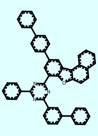 c1ccc(-c2ccc(-c3cc(-c4nc(-c5ccccc5)nc(-c5cccc(-c6ccccc6)c5)n4)c4oc5ccc6ccccc6c5c4c3)cc2)cc1